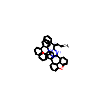 C=C/C=C(\CN/C(=N\C(=N)c1ccccc1)c1cccc2oc3cccc(-c4ccc5c6ccccc6c6ccccc6c5c4)c3c12)c1ccccc1